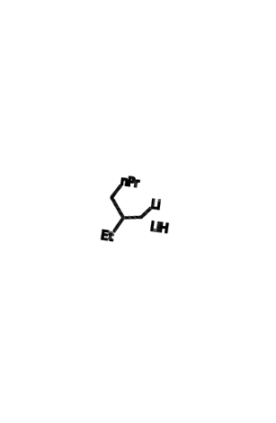 [LiH].[Li][CH2]C(CC)CCCC